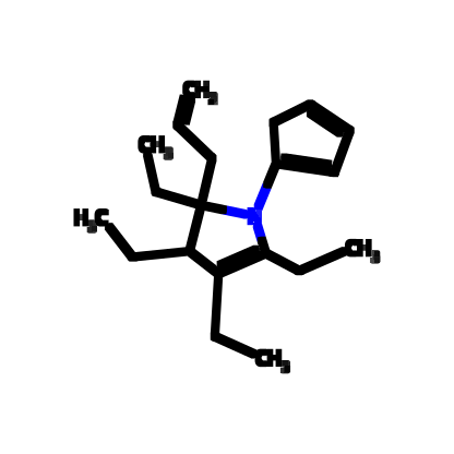 C=CCC1(CC)C(CC)C(CC)=C(CC)N1C1=CC=CC1